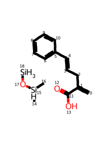 C=C(CC=Cc1ccccc1)C(=O)O.C[SiH](C)O[SiH3]